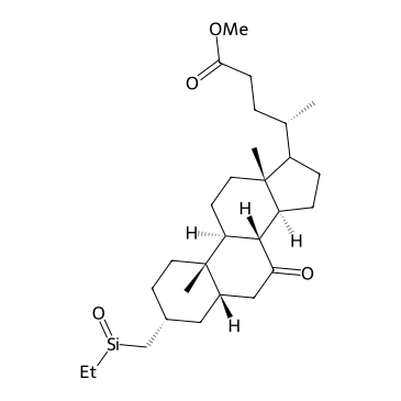 CC[Si](=O)C[C@@H]1CC[C@@]2(C)[C@H](CC(=O)[C@@H]3[C@@H]2CC[C@]2(C)C([C@@H](C)CCC(=O)OC)CC[C@@H]32)C1